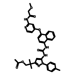 COCC(=O)Nc1cc(Oc2ccc(NC(=O)Nc3cc(C(C)(C)COC(C)=O)nn3-c3ccc(C)cc3)c3ccccc23)ccn1